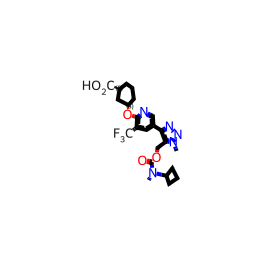 CN(C(=O)OCc1c(-c2cnc(O[C@H]3CCC[C@H](C(=O)O)C3)c(C(F)(F)F)c2)nnn1C)C1CCC1